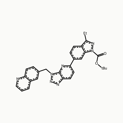 CCc1nn(C(=O)OC(C)(C)C)c2cc(-c3ccc4nnn(Cc5ccc6ncccc6c5)c4n3)ccc12